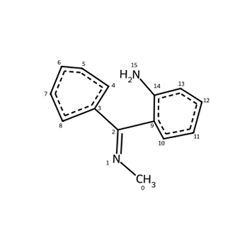 C/N=C(/c1ccccc1)c1ccccc1N